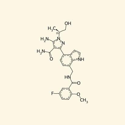 COc1ccc(F)cc1C(=O)NCc1ccc(-c2nn([C@@H](C)CO)c(N)c2C(N)=O)c2cc[nH]c12